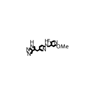 COc1cc(CNc2ccc(Cc3c[nH]c4ncncc34)cn2)c(F)cn1